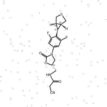 N#CCC(=O)NC[C@H]1CN(c2cc(F)c([C@H]3[C@@H]4CSC[C@@H]43)c(F)c2)C(=O)O1